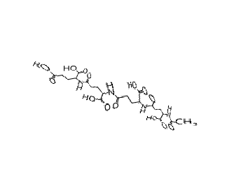 CC(=O)NC(CCC(=O)NC(CCC(=O)NC(CCC(=O)NC(CCC(=O)O)C(=O)O)C(=O)O)C(=O)O)C(=O)O